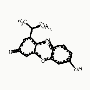 CC(C)c1cc(=O)cc2oc3cc(O)ccc3nc1-2